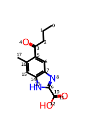 CCCC(=O)c1cc2nc(C(=O)O)[nH]c2cc1C